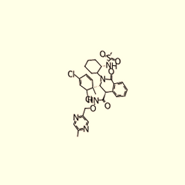 Cc1cnc(CONC(=O)[C@@H]2c3ccccc3C(=O)N(C3CCCC[C@@H]3NS(C)(=O)=O)[C@H]2C2(C)C=CC(Cl)=CC2Cl)cn1